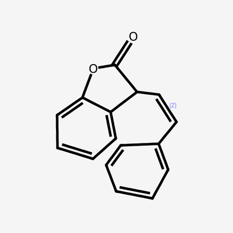 O=C1Oc2ccccc2C1/C=C\c1ccccc1